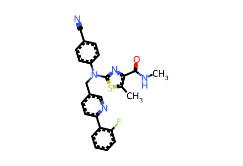 CNC(=O)c1nc(N(Cc2ccc(-c3ccccc3F)nc2)c2ccc(C#N)cc2)sc1C